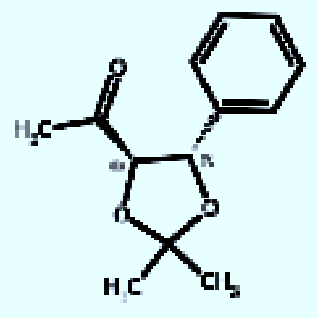 CC(=O)[C@@H]1OC(C)(C)O[C@H]1c1ccccc1